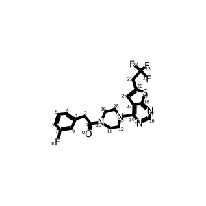 O=C(Cc1cccc(F)c1)N1CCN(c2ncnc3sc(CC(F)(F)F)cc23)CC1